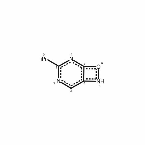 CC(C)c1ncc2[nH]oc2n1